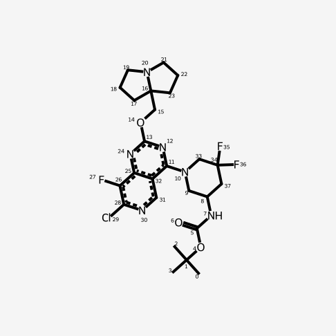 CC(C)(C)OC(=O)NC1CN(c2nc(OCC34CCCN3CCC4)nc3c(F)c(Cl)ncc23)CC(F)(F)C1